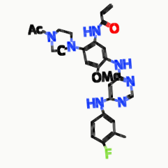 C=CC(=O)Nc1cc(Nc2cc(Nc3ccc(F)c(C)c3)ncn2)c(OC)cc1N1CCN(C(C)=O)CC1